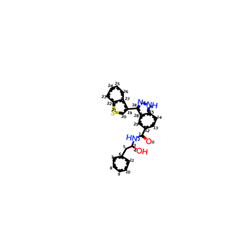 O=C(NC(O)Cc1ccccc1)c1ccc2[nH]nc(-c3csc4ccccc34)c2c1